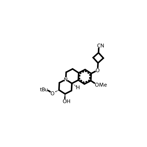 COc1cc2c(cc1OC1CC(C#N)C1)CCN1C[C@@H](OC(C)(C)C)[C@H](O)C[C@H]21